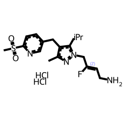 Cc1nn(C/C(F)=C/CN)c(C(C)C)c1Cc1ccc(S(C)(=O)=O)nc1.Cl.Cl